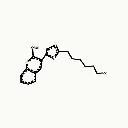 COc1nc2ccccc2cc1-c1cnc(CCCCCCC(C)=O)o1